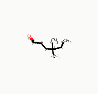 CCC(C)(C)CC[C]=O